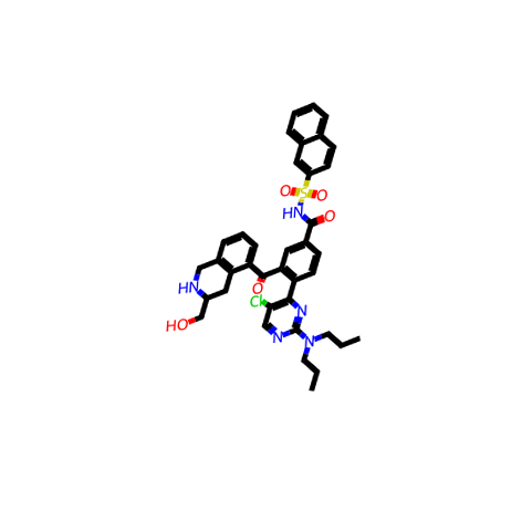 CCCN(CCC)c1ncc(Cl)c(-c2ccc(C(=O)NS(=O)(=O)c3ccc4ccccc4c3)cc2C(=O)c2cccc3c2CC(CO)NC3)n1